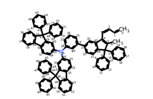 C=C/C=C\C1=C(C)C(c2ccccc2)(c2ccccc2)c2ccc(-c3cccc(N(c4ccc5c(c4)C(c4ccccc4)(c4ccccc4)c4ccccc4-5)c4ccc5c(c4)C(c4ccccc4)(c4ccccc4)c4ccccc4-5)c3)cc21